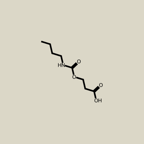 CCCCNC(=O)OCCC(=O)O